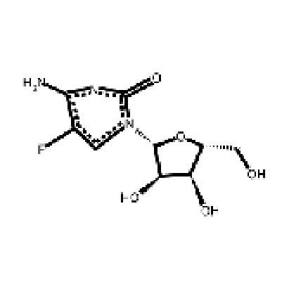 Nc1nc(=O)n([C@@H]2O[C@H]([CH]O)[C@@H](O)[C@H]2O)cc1F